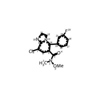 CON(C)C(=O)c1cc(Cl)c2nccn2c1-c1cccc(F)c1